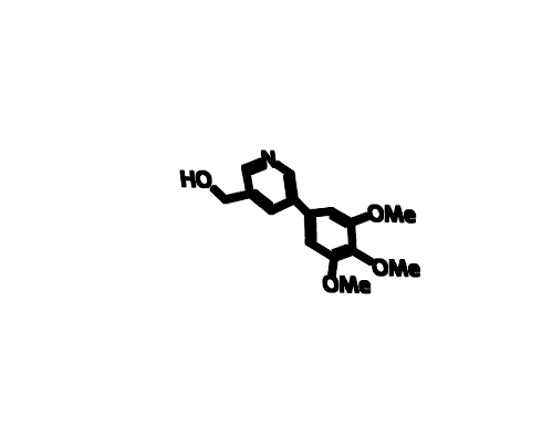 COc1cc(-c2cncc(CO)c2)cc(OC)c1OC